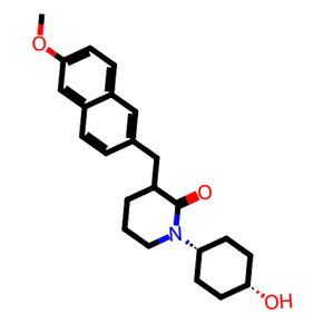 COc1ccc2cc(CC3CCCN([C@H]4CC[C@@H](O)CC4)C3=O)ccc2c1